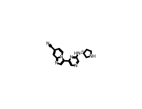 N#Cc1ccn2c(-c3cncc(N[C@@H]4CCNC4)n3)cnc2c1